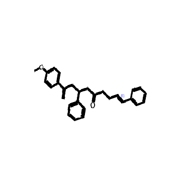 C=C(CC(CC(=O)CC/C=C/c1ccccc1)c1ccccc1)c1ccc(OC)cc1